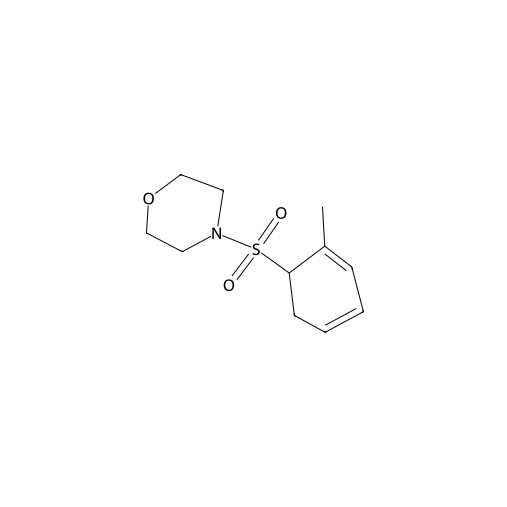 CC1=CC=CCC1S(=O)(=O)N1CCOCC1